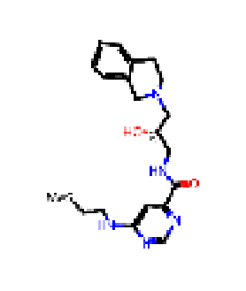 CSCCNc1cc(C(=O)NC[C@H](O)CN2CCc3ccccc3C2)ncn1